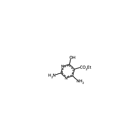 CCOC(=O)c1c(N)nc(N)nc1O